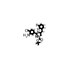 CC(C)(C)OC(=O)NCC(Cc1cccc(F)c1)NC(=O)c1ccc(Cl)c(N)c1